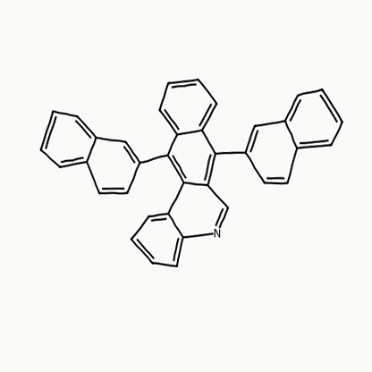 c1ccc2cc(-c3c4ccccc4c(-c4ccc5ccccc5c4)c4c3cnc3ccccc34)ccc2c1